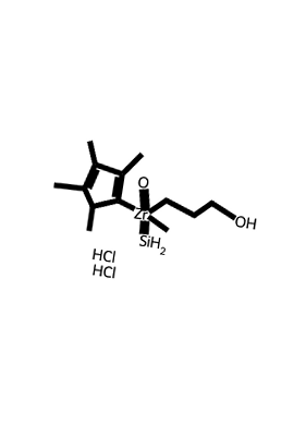 CC1=C(C)C(C)[C]([Zr]([CH3])(=[O])(=[SiH2])[CH2]CCO)=C1C.Cl.Cl